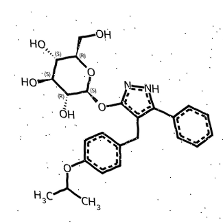 CC(C)Oc1ccc(Cc2c(O[C@@H]3O[C@H](CO)[C@@H](O)[C@H](O)[C@H]3O)n[nH]c2-c2ccccc2)cc1